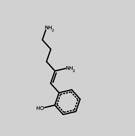 NCCCC(N)=Cc1ccccc1O